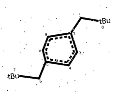 CC(C)(C)Cc1ccc(CC(C)(C)C)cc1